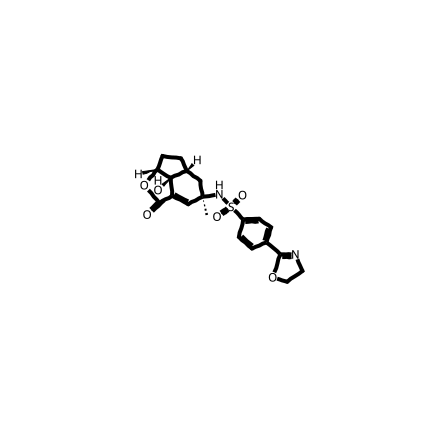 C[C@]1(NS(=O)(=O)c2ccc(C3=NCCO3)cc2)C=C2C(=O)O[C@@H]3CC[C@H](C1)[C@]23O